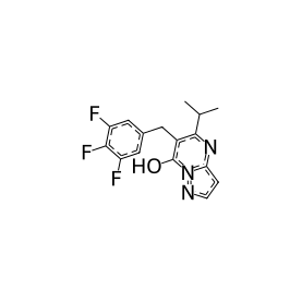 CC(C)c1nc2ccnn2c(O)c1Cc1cc(F)c(F)c(F)c1